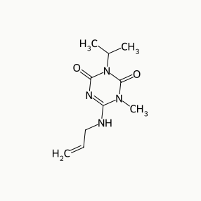 C=CCNc1nc(=O)n(C(C)C)c(=O)n1C